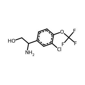 NC(CO)c1ccc(OC(F)(F)F)c(Cl)c1